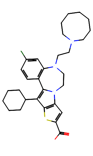 O=C(O)c1cc2c(s1)c(C1CCCCC1)c1n2CCN(CCN2CCCCCCC2)c2cc(Cl)ccc2-1